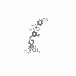 CN(C)S(=O)(=O)N1CCN(Cc2cc(F)cc(NC(=O)Nc3ccc(C#N)nc3)c2)CC1